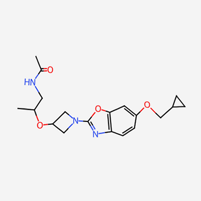 CC(=O)NCC(C)OC1CN(c2nc3ccc(OCC4CC4)cc3o2)C1